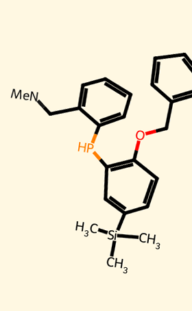 CNCc1ccccc1Pc1cc([Si](C)(C)C)ccc1OCc1ccccc1